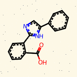 O=C(O)c1ccccc1-c1ncc(-c2ccccc2)[nH]1